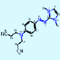 Cn1cc[n+](C)c1N=Nc1ccc(N(CCC#N)CCC#N)cc1